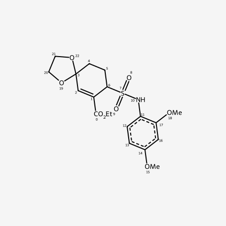 CCOC(=O)C1=CC2(CCC1S(=O)(=O)Nc1ccc(OC)cc1OC)OCCO2